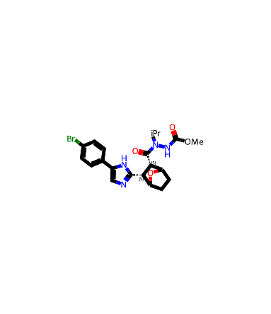 COC(=O)NN(C(=O)[C@@H]1C2CCC(O2)[C@@H]1c1ncc(-c2ccc(Br)cc2)[nH]1)C(C)C